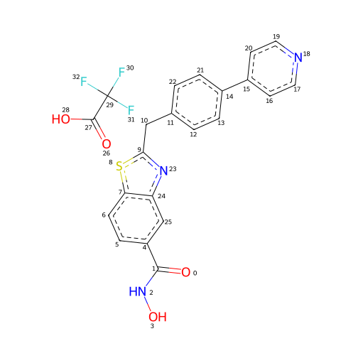 O=C(NO)c1ccc2sc(Cc3ccc(-c4ccncc4)cc3)nc2c1.O=C(O)C(F)(F)F